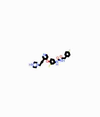 O=C(Cc1ccc(F)cc1)NC(=O)Nc1ccc(Oc2ccncc2C#CCN2CCNCC2)c(F)c1